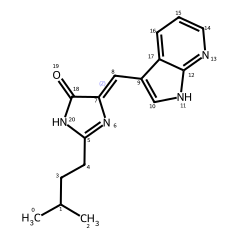 CC(C)CCC1=N/C(=C\c2c[nH]c3ncccc23)C(=O)N1